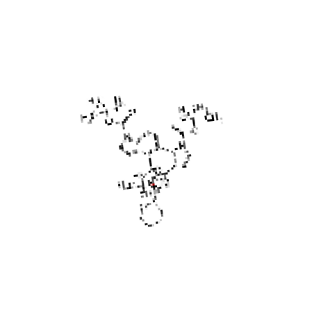 CC(C)(C)NC(=O)c1c(-c2c(-c3cnn(C4CCCCO4)n3)ccn2C(=O)OC(C)(C)C)ccc2c1ccn2C(=O)OC(C)(C)C